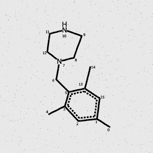 Cc1cc(C)c(CN2CCNCC2)c(C)c1